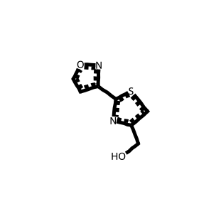 OCc1csc(-c2ccon2)n1